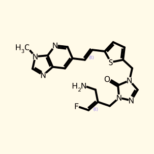 Cn1cnc2cc(/C=C/c3ccc(Cn4cnn(C/C(=C/F)CN)c4=O)s3)cnc21